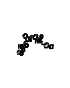 O=C(Cc1cnc(Cc2ccc(C(=O)NCCc3ccc(Cl)cc3)cc2)c2ccccc12)NOC1CCCCO1